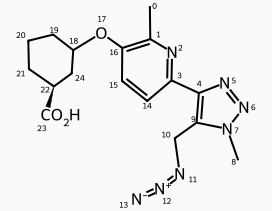 Cc1nc(-c2nnn(C)c2CN=[N+]=[N-])ccc1OC1CCC[C@H](C(=O)O)C1